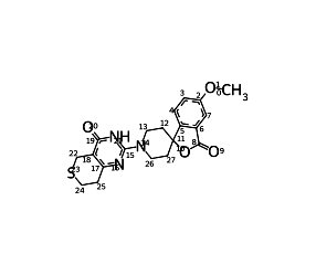 COc1ccc2c(c1)C(=O)OC21CCN(c2nc3c(c(=O)[nH]2)CSCC3)CC1